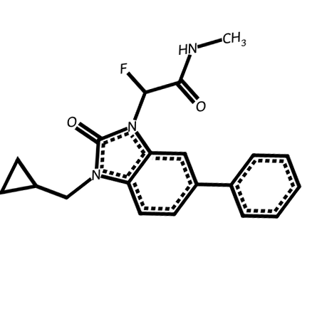 CNC(=O)C(F)n1c(=O)n(CC2CC2)c2ccc(-c3ccccc3)cc21